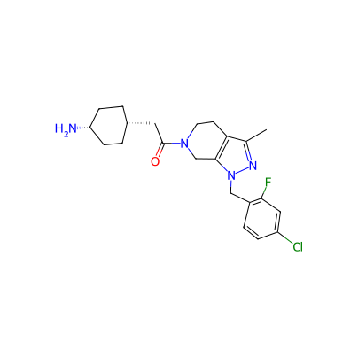 Cc1nn(Cc2ccc(Cl)cc2F)c2c1CCN(C(=O)C[C@H]1CC[C@@H](N)CC1)C2